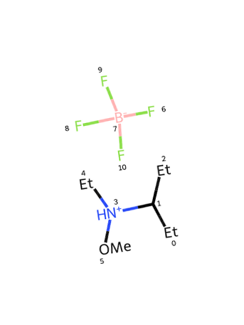 CCC(CC)[NH+](CC)OC.F[B-](F)(F)F